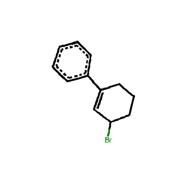 BrC1C=C(c2ccccc2)CCC1